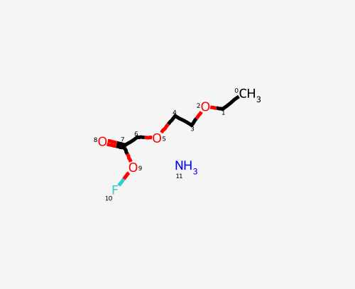 CCOCCOCC(=O)OF.N